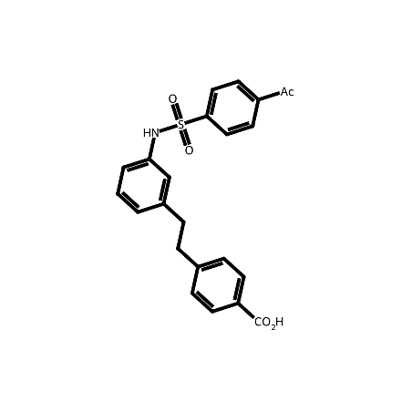 CC(=O)c1ccc(S(=O)(=O)Nc2cccc(CCc3ccc(C(=O)O)cc3)c2)cc1